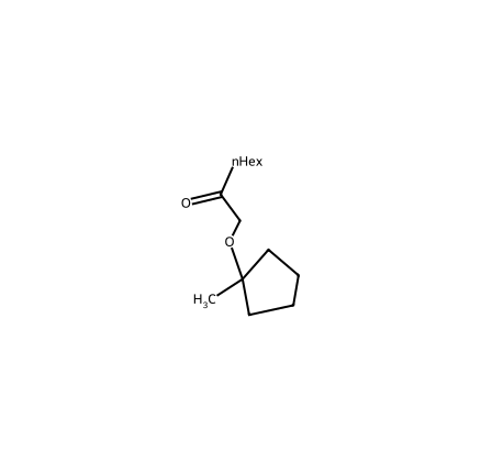 CCCCCCC(=O)COC1(C)CCCC1